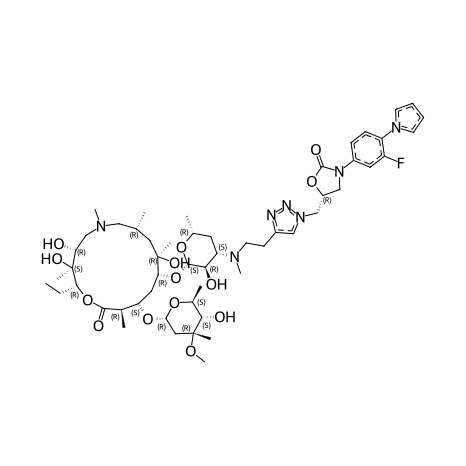 CC[C@H]1OC(=O)[C@H](C)[C@@H](O[C@H]2C[C@@](C)(OC)[C@@H](O)[C@H](C)O2)C[C@@H](O[C@@H]2O[C@H](C)C[C@H](N(C)CCc3cn(C[C@H]4CN(c5ccc(-n6cccc6)c(F)c5)C(=O)O4)nn3)[C@H]2O)[C@](C)(O)C[C@@H](C)CN(C)C[C@@H](O)[C@]1(C)O